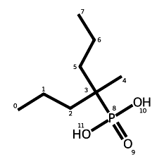 CCCC(C)(CCC)P(=O)(O)O